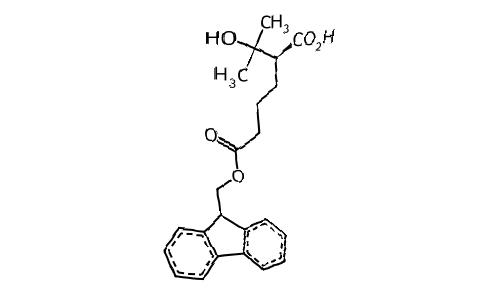 CC(C)(O)[C@H](CCCC(=O)OCC1c2ccccc2-c2ccccc21)C(=O)O